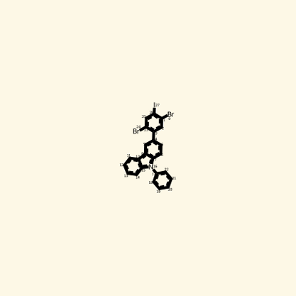 Brc1cc(-c2ccc3c(c2)c2ccccc2n3-c2ccccc2)c(Br)cc1I